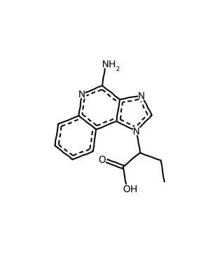 CCC(C(=O)O)n1cnc2c(N)nc3ccccc3c21